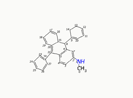 CNc1ccc2c(c1)C(C1=CC=CCC1)C1C=CC=CC1=C2c1ccccc1